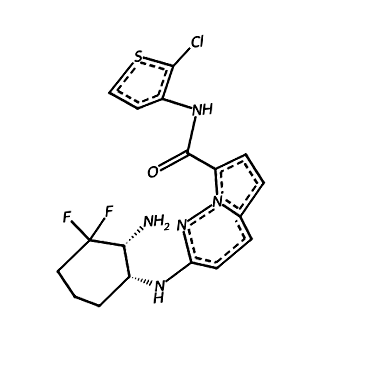 N[C@@H]1[C@H](Nc2ccc3ccc(C(=O)Nc4ccsc4Cl)n3n2)CCCC1(F)F